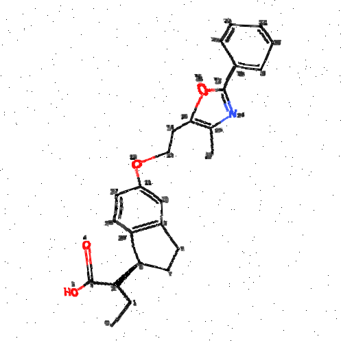 CCC(C(=O)O)[C@@H]1CCc2cc(OCCc3oc(-c4ccccc4)nc3C)ccc21